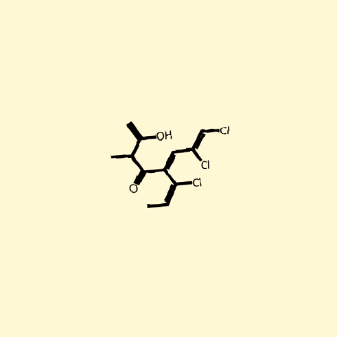 C=C(O)C(C)C(=O)C(=C/C(Cl)=C/Cl)/C(Cl)=C\C